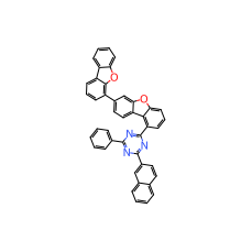 c1ccc(-c2nc(-c3ccc4ccccc4c3)nc(-c3cccc4oc5cc(-c6cccc7c6oc6ccccc67)ccc5c34)n2)cc1